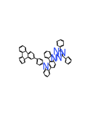 c1ccc(-c2nc(-c3ccccc3)nc(-n3c4ccccc4c4c3ccc3c5ccccc5n(-c5ccc(-c6ccc7c8ccccc8c8ccccc8c7c6)cc5)c34)n2)cc1